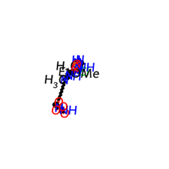 CCc1cc(Nc2ncc(Cl)c(Nc3ccc4nccnc4c3NS(C)(=O)=O)n2)c(OC)cc1N1CCC(N(C)CCCCCCCCCCCCOc2cccc3c2CN(C2CCC(=O)NC2=O)C3=O)CC1